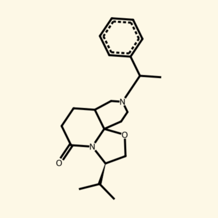 CC(C)[C@@H]1COC23CCN(C(C)c4ccccc4)CC2CCC(=O)N13